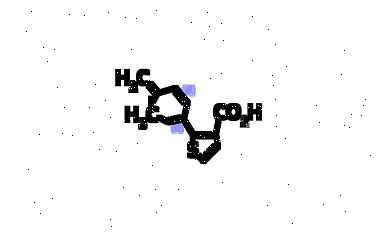 C=C(I)/C=C\C(=C/C)c1sccc1C(=O)O